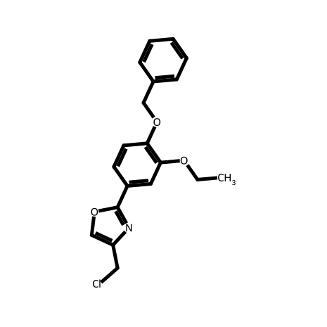 CCOc1cc(-c2nc(CCl)co2)ccc1OCc1ccccc1